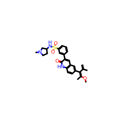 C=C(C)/C(=C(/C)OC)c1ccc2[nH]c(=O)c(-c3cccc(S(=O)(=O)NC4CCN(C)C4)c3)cc2c1